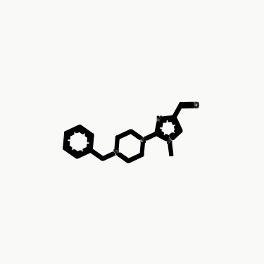 Cn1cc(C=O)nc1N1CCN(Cc2ccccc2)CC1